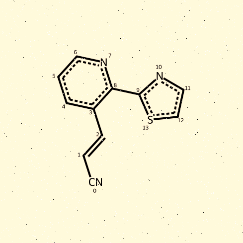 N#CC=Cc1cccnc1-c1nccs1